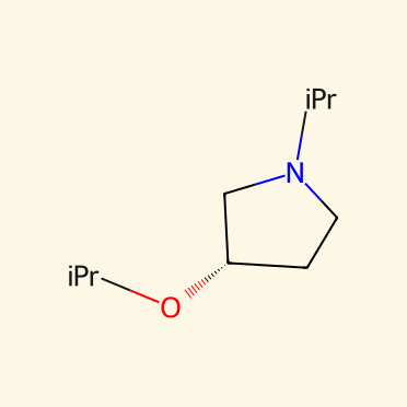 CC(C)O[C@H]1CCN(C(C)C)C1